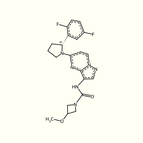 COC1CN(C(=O)Nc2cnn3ccc(N4CCC[C@@H]4c4cc(F)ccc4F)nc23)C1